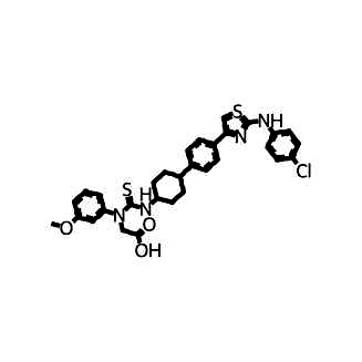 COc1cccc(N(CC(=O)O)C(=S)NC2CCC(c3ccc(-c4csc(Nc5ccc(Cl)cc5)n4)cc3)CC2)c1